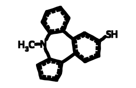 CN1c2ccccc2-c2ccc(S)cc2-c2ccccc21